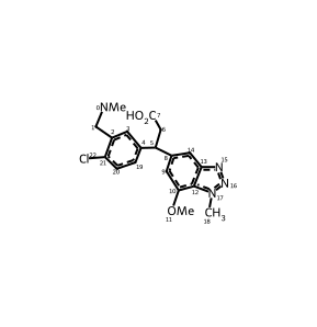 CNCc1cc(C(CC(=O)O)c2cc(OC)c3c(c2)nnn3C)ccc1Cl